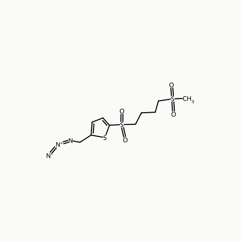 CS(=O)(=O)CCCCS(=O)(=O)c1ccc(CN=[N+]=[N-])s1